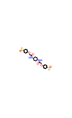 C[S+]([O-])c1ccc(OCC(=O)N[C@H]2CC[C@H](NC(=O)COc3ccc([S+](C)[O-])cc3)CC2)cc1